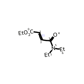 CCOC(=O)/C=C/C(=O)N(CC)CC